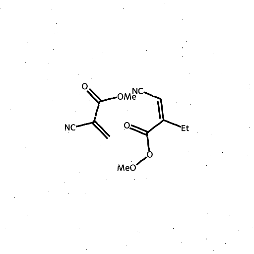 C=C(C#N)C(=O)OC.CCC(=CC#N)C(=O)OOC